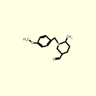 COc1ccc(CN2CC(C=O)CCC2C)cc1